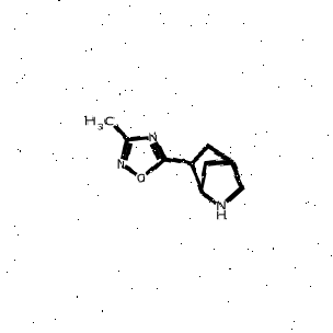 Cc1noc(C2CC3CNC2C3)n1